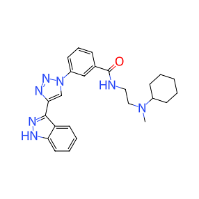 CN(CCNC(=O)c1cccc(-n2cc(-c3n[nH]c4ccccc34)nn2)c1)C1CCCCC1